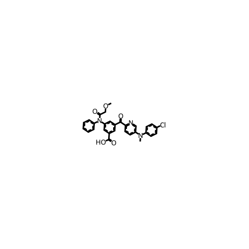 COCC(=O)N(c1ccccc1)c1cc(C(=O)O)cc(C(=O)c2ccc(N(C)c3ccc(Cl)cc3)cn2)c1